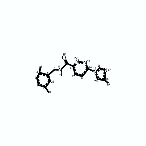 Cc1ccc(C)c(CNC(=O)c2ccc(-n3cnc(C)c3)nn2)c1